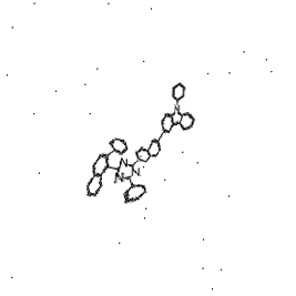 c1ccc(-c2nc(-c3ccc4cc(-c5ccc6c(c5)c5ccccc5n6-c5ccccc5)ccc4c3)nc(-c3c(-c4ccccc4)ccc4ccccc34)n2)cc1